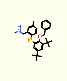 CNCc1cc(C)ccc1Pc1cc(C(C)(C)C)cc(C(C)(C)C)c1OCc1ccccc1